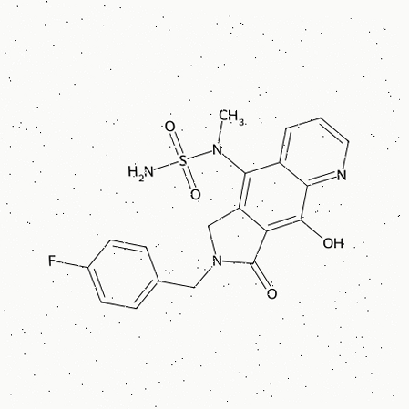 CN(c1c2c(c(O)c3ncccc13)C(=O)N(Cc1ccc(F)cc1)C2)S(N)(=O)=O